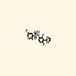 Cc1ncc(F)cc1S(=O)(=O)Nc1ccc(F)c(-c2nccn2C)c1F